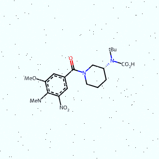 CNc1c(OC)cc(C(=O)N2CCC[C@@H](N(C(=O)O)C(C)(C)C)C2)cc1[N+](=O)[O-]